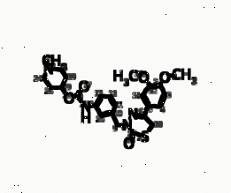 COc1ccc(C2=NN(Cc3cccc(NC(=O)OC4CCN(C)CC4)c3)C(=O)SC2)cc1OC